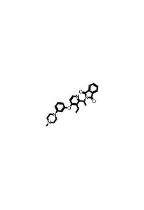 CCc1c(Oc2cccc(N3CCN(C)CC3)c2)ccnc1C(C)N1C(=O)c2ccccc2C1=O